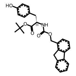 CC(C)(C)OC(=O)[C@H](Cc1ccc(O)cc1)NC(=O)OCc1cccc2c1Cc1ccccc1-2